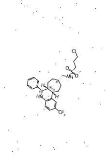 O=S(=O)(CCCCl)NC[C@H]1CC[C@@H]2[C@H](CC1)c1cc(C(F)(F)F)ccc1N[C@H]2c1ccccc1